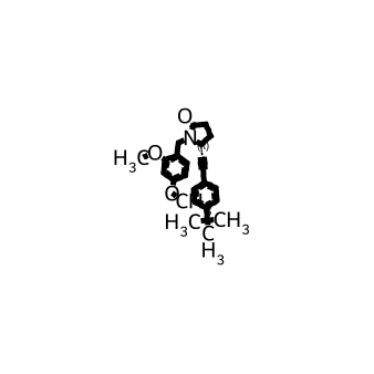 COc1ccc(CN2C(=O)CC[C@@H]2C#Cc2ccc(C(C)(C)C)cc2)c(OC)c1